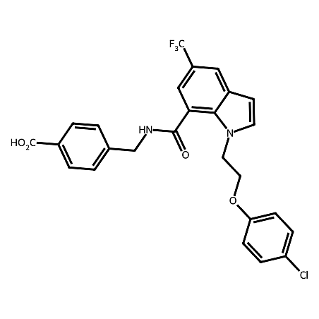 O=C(O)c1ccc(CNC(=O)c2cc(C(F)(F)F)cc3ccn(CCOc4ccc(Cl)cc4)c23)cc1